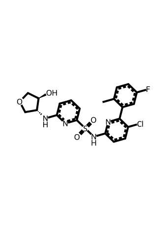 Cc1ccc(F)cc1-c1nc(NS(=O)(=O)c2cccc(N[C@@H]3COC[C@H]3O)n2)ccc1Cl